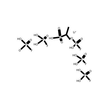 CC(C)S(=O)(=O)O.O=P(O)(O)F.O=P(O)(O)F.O=P(O)(O)F.O=P(O)(O)F.O=P([O-])(O)F.[Li+]